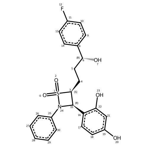 O=S1(=O)[C@@H](CC[C@@H](O)c2ccc(F)cc2)[C@@H](c2ccc(O)cc2O)N1c1ccccc1